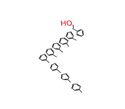 Cc1ccccc1.Cc1ccccc1.Cc1ccccc1.Cc1ccccc1.Cc1ccccc1.Cc1ccccc1.Cc1ccccc1.Cc1ccccc1.OCCc1ccccc1